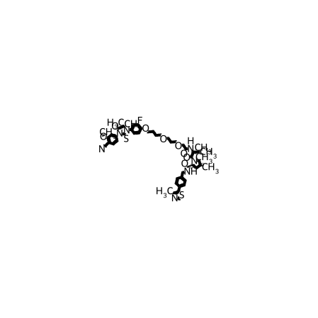 COc1cc(N2C(=O)C(C)(C)N(c3ccc(OCCCCOCCCOCC(=O)N[C@H](C(=O)N4C[C@H](C)C[C@H]4C(=O)NCc4ccc(-c5scnc5C)cc4)C(C)(C)C)c(F)c3)C2=S)ccc1C#N